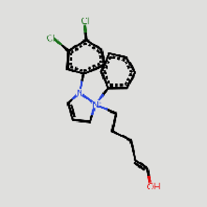 OC=CCCC[N+]1(c2ccccc2)CC=CN1c1ccc(Cl)c(Cl)c1